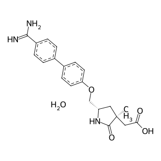 C[C@@]1(CC(=O)O)C[C@@H](COc2ccc(-c3ccc(C(=N)N)cc3)cc2)NC1=O.O